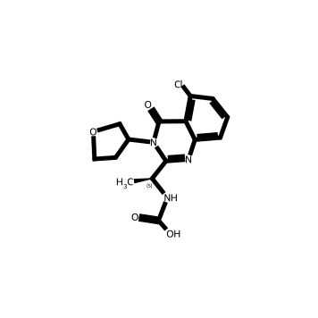 C[C@H](NC(=O)O)c1nc2cccc(Cl)c2c(=O)n1C1CCOC1